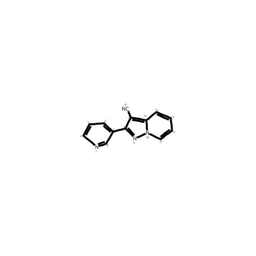 N#Cc1c(-c2cccnc2)nn2ccccc12